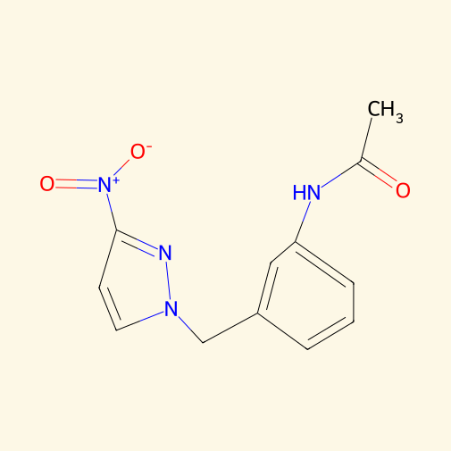 CC(=O)Nc1cccc(Cn2ccc([N+](=O)[O-])n2)c1